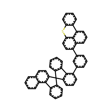 c1cc(-c2cccc3c2-c2ccccc2C32c3ccccc3-c3c2ccc2ccccc32)cc(-c2ccc3c4c(cccc24)-c2ccccc2S3)c1